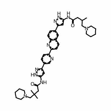 CC(CC(=O)Nc1cc(-c2ccc3nc(-c4ccc(-c5cc(NC(=O)CC(C)(C)CN6CCCCC6)[nH]n5)cn4)ccc3c2)n[nH]1)CN1CCCCC1